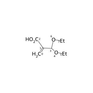 C=C(C(=O)O)C(OCC)OCC